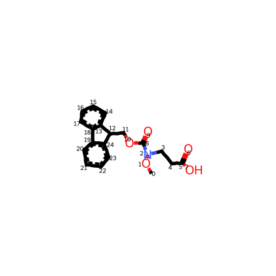 CON(CCC(=O)O)C(=O)OCC1c2ccccc2-c2ccccc21